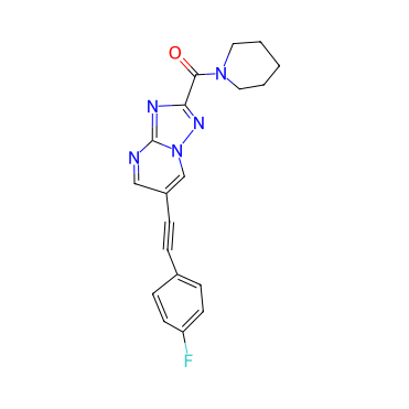 O=C(c1nc2ncc(C#Cc3ccc(F)cc3)cn2n1)N1CCCCC1